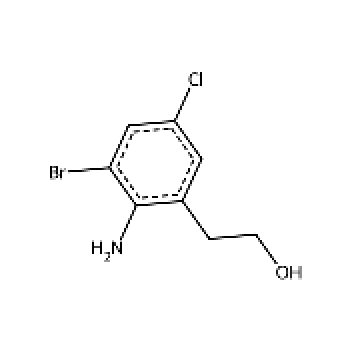 Nc1c(Br)cc(Cl)cc1CCO